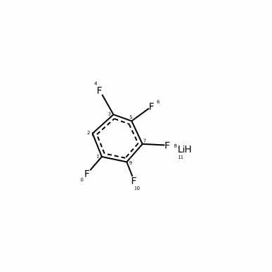 Fc1[c]c(F)c(F)c(F)c1F.[LiH]